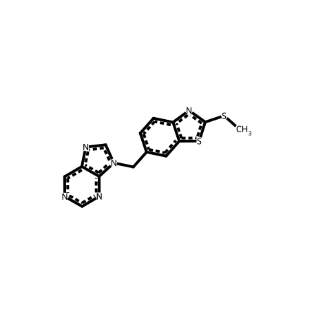 CSc1nc2ccc(Cn3cnc4cncnc43)cc2s1